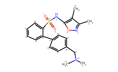 Cc1noc(NS(=O)(=O)c2ccccc2-c2ccc(CN(C)C)cc2)c1C